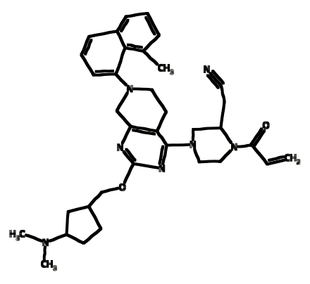 C=CC(=O)N1CCN(c2nc(OCC3CCC(N(C)C)C3)nc3c2CCN(c2cccc4cccc(C)c24)C3)CC1CC#N